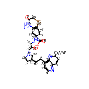 COc1ccc2nccc(CCC3CCN(CC4CN(c5ccc6c(c5)NC(=O)CS6)C(=O)O4)C3)c2n1